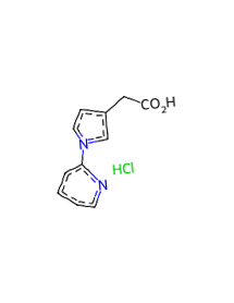 Cl.O=C(O)Cc1ccn(-c2ccccn2)c1